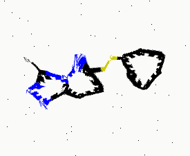 CCc1nnc2ccc(Sc3ccccc3)nn12